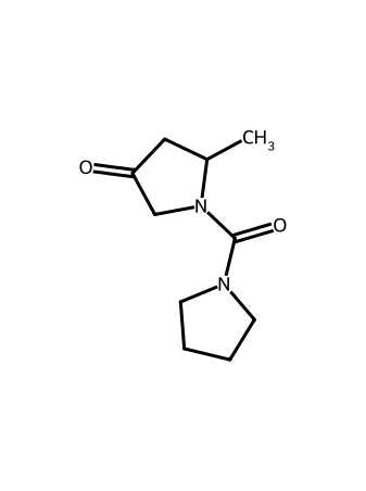 CC1CC(=O)CN1C(=O)N1CCCC1